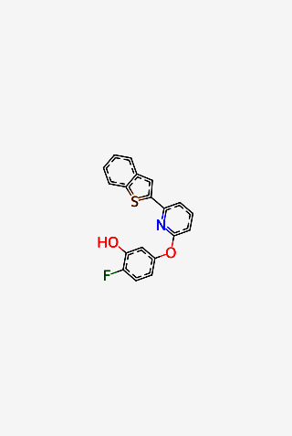 Oc1cc(Oc2cccc(-c3cc4ccccc4s3)n2)ccc1F